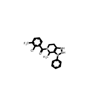 CC1C2=C(CCN1C(=O)c1cccc(C(F)(F)F)c1Cl)NNN2c1ccccc1